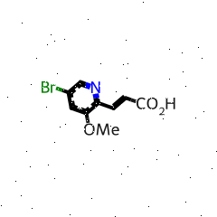 COc1cc(Br)cnc1C=CC(=O)O